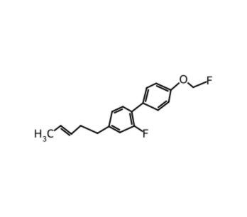 C/C=C/CCc1ccc(-c2ccc(OCF)cc2)c(F)c1